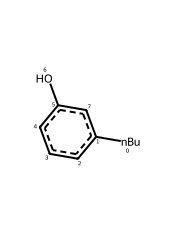 [CH2]CCCc1cccc(O)c1